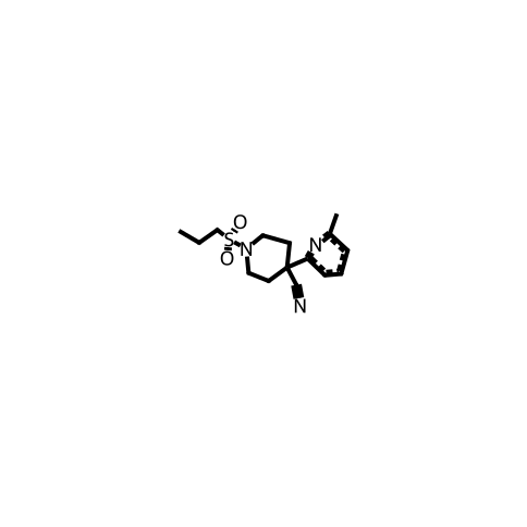 CCCS(=O)(=O)N1CCC(C#N)(c2cccc(C)n2)CC1